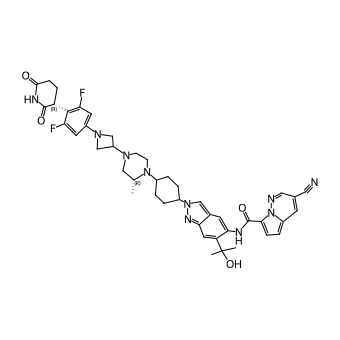 C[C@@H]1CN(C2CN(c3cc(F)c([C@H]4CCC(=O)NC4=O)c(F)c3)C2)CCN1C1CCC(n2cc3cc(NC(=O)c4ccc5cc(C#N)cnn45)c(C(C)(C)O)cc3n2)CC1